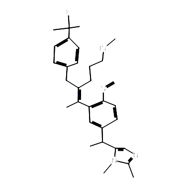 C=Nc1ccc(C(C)c2cnc(C)n2C)cc1/C(C)=C(\CCCNC)Cc1ccc(C(F)(F)F)cc1